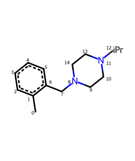 Cc1ccccc1CN1CCN(C(C)C)CC1